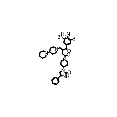 Nc1c(Br)cc(C(=O)C(CC(=O)N2CCC(n3cc(-c4ccccc4)[nH]c3=O)CC2)CN2CCC(N3CCCCC3)CC2)cc1Br